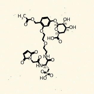 CC(=O)OCc1ccc(O[C@@H]2O[C@H](C(=O)O)C[C@H](O)[C@H]2O)cc1OCCOCCNC(=O)[C@H](CS(=O)(=O)O)NC(=O)CN1C(=O)C=CC1=O